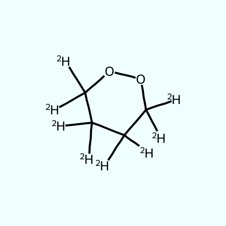 [2H]C1([2H])OOC([2H])([2H])C([2H])([2H])C1([2H])[2H]